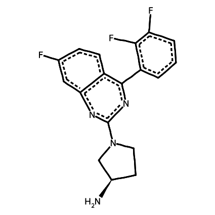 N[C@@H]1CCN(c2nc(-c3cccc(F)c3F)c3ccc(F)cc3n2)C1